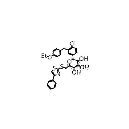 CCOc1ccc(Cc2cc([C@@H]3O[C@H](CSc4nc(-c5ccccc5)cs4)[C@@H](O)[C@H](O)[C@H]3O)ccc2Cl)cc1